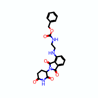 O=C1CCC(N2C(=O)c3cccc(NCCNC(=O)OCc4ccccc4)c3C2=O)C(=O)N1